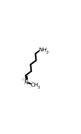 C/N=C\CCCCN